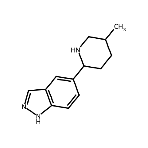 CC1CCC(c2ccc3[nH]ncc3c2)NC1